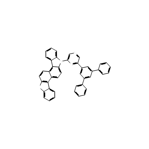 c1ccc(-c2cc(-c3ccccc3)cc(-c3cncc(-n4c5ccccc5c5c6ccc7sc8ccccc8c7c6ccc54)n3)c2)cc1